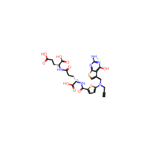 C#CCN(Cc1csc2nc(N)nc(O)c12)c1ccc(C(=O)N[C@@H](CCC(=O)N[C@@H](CCC(=O)O)C(=O)O)C(=O)O)s1